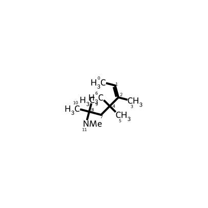 C/C=C(/C)C(C)(C)CC(C)(C)NC